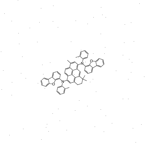 Cc1ccccc1N(c1cc(C)c2ccc3c(N(c4ccccc4C)c4cccc5c4oc4ccccc45)cc4c5c(cc1c2c35)C(C)(C)CC4)c1cccc2c1oc1ccccc12